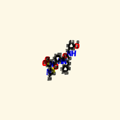 COc1cccc(CNCC[C@H](Cc2ccccc2)NC(=O)c2cccc(C(=O)N3CS(=O)(=O)C[C@@H]3c3nc(C)cs3)c2)c1